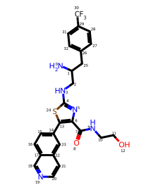 NC(CNc1nc(C(=O)NCCO)c(-c2ccc3cnccc3c2)s1)Cc1ccc(C(F)(F)F)cc1